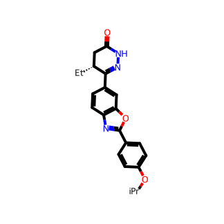 CC[C@@H]1CC(=O)NN=C1c1ccc2nc(-c3ccc(OC(C)C)cc3)oc2c1